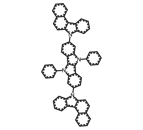 c1ccc(-n2c3cc(-n4c5ccccc5c5c6ccccc6ccc54)ccc3c3c2c2ccc(-n4c5ccccc5c5c6ccccc6ccc54)cc2n3-c2ccccc2)cc1